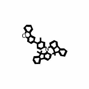 Cc1cc(N(c2cccc3c2C(C)(C)c2ccccc2-3)c2cccc3c2C(C)(C)c2ccccc2-3)ccc1-c1ccc2oc3ccccc3c2c1